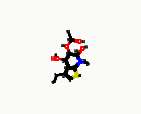 CCc1csc2c1c(O)c(OC(C)=O)c(=O)n2C